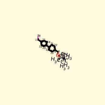 CC(C)(C)[Si](C)(C)OCc1ccc(-c2ccc(CI)cc2)cc1